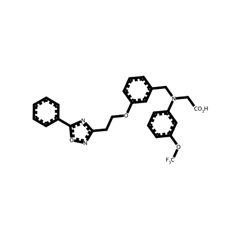 O=C(O)CN(Cc1cccc(OCCc2noc(-c3ccccc3)n2)c1)c1cccc(OC(F)(F)F)c1